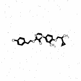 Cc1cc(-n2ccnc(OCCc3ccc(Cl)cc3)c2=O)ccc1OCC(C)C1CC1